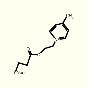 CCCCCCCCCCCC(=O)OCC[n+]1ccc(C)cc1